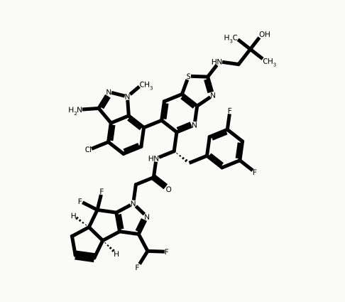 Cn1nc(N)c2c(Cl)ccc(-c3cc4sc(NCC(C)(C)O)nc4nc3[C@H](Cc3cc(F)cc(F)c3)NC(=O)Cn3nc(C(F)F)c4c3C(F)(F)[C@@H]3CC#C[C@H]43)c21